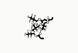 C=CC(=O)OCC(F)(OC(F)(F)C(F)(C(F)(F)OC(F)(COC(=O)C=C)C(F)(F)F)C(F)(F)OC(F)(COC(=O)C=C)C(F)(F)F)C(F)(F)F